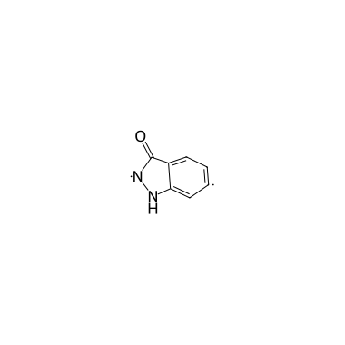 O=C1[N]Nc2c[c]ccc21